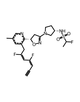 C#C/C=C(F)\C=C(\F)Cc1cc(C)cnc1[C@@H]1CC(N2CC[C@H](NS(=O)(=O)C(C)F)C2)=NO1